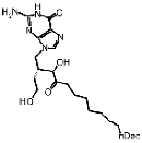 CCCCCCCCCCCCCCCCCC(=O)[C@H](O)[C@H](CCO)Cn1cnc2c(=O)[nH]c(N)nc21